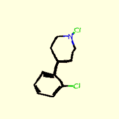 Clc1ccccc1C1CCN(Cl)CC1